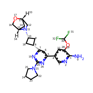 Nc1ncc(-c2cc([C@H]3C[C@@H](N4C[C@@H]5C[C@H]4CO5)C3)nc(N3CCCC3)n2)cc1OC(F)F